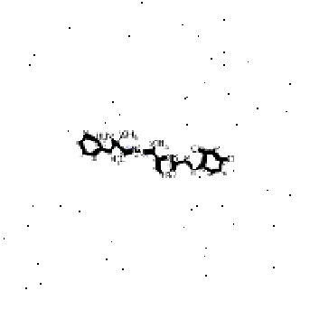 C/C(=N\N=C(/C)[C@](C)(N)Cc1ccccc1)C(CC(C)(C)C)NC(=O)CCc1ccc(Cl)cc1Cl